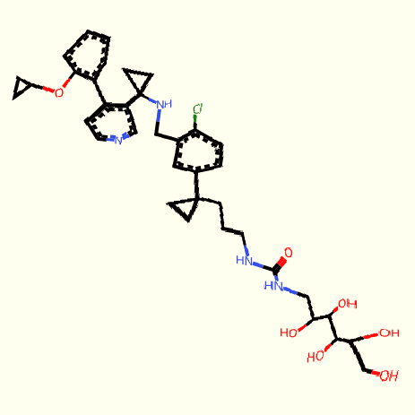 O=C(NCCCC1(c2ccc(Cl)c(CNC3(c4cnccc4-c4ccccc4OC4CC4)CC3)c2)CC1)NCC(O)C(O)C(O)C(O)CO